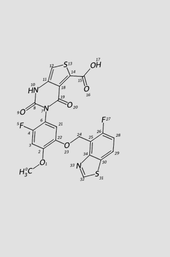 COc1cc(F)c(-n2c(=O)[nH]c3csc(C(=O)O)c3c2=O)cc1OCc1c(F)ccc2scnc12